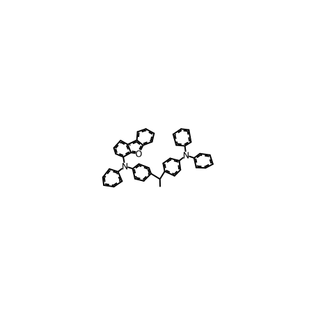 CC(c1ccc(N(c2ccccc2)c2ccccc2)cc1)c1ccc(N(c2ccccc2)c2cccc3c2oc2ccccc23)cc1